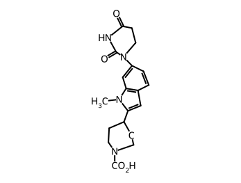 Cn1c(C2CCN(C(=O)O)CC2)cc2ccc(N3CCC(=O)NC3=O)cc21